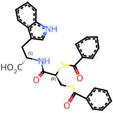 O=C(SC[C@H](SC(=O)c1ccccc1)C(=O)N[C@@H](Cc1c[nH]c2ccccc12)C(=O)O)c1ccccc1